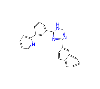 C1=NC(c2ccc3ccccc3c2)=NC(c2cccc(-c3ccccn3)c2)N1